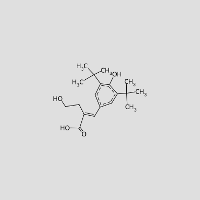 CC(C)(C)c1cc(/C=C(\CCO)C(=O)O)cc(C(C)(C)C)c1O